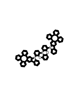 c1cc2c3c(c1)Oc1c(cccc1-n1c4ccccc4c4cc5c(cc41)-c1ccccc1-c1ccccc1-c1ccccc1-5)B3c1cccc(-n3c4ccccc4c4cc5c(cc43)-c3ccccc3-c3ccccc3-c3ccccc3-5)c1O2